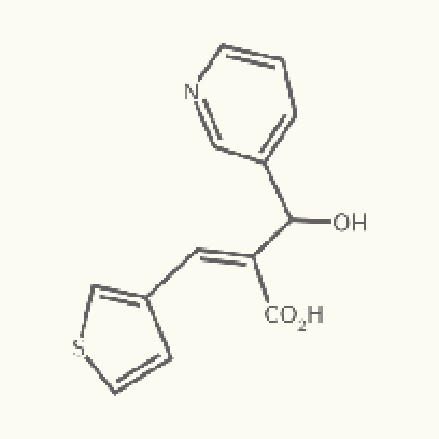 O=C(O)C(=Cc1ccsc1)C(O)c1cccnc1